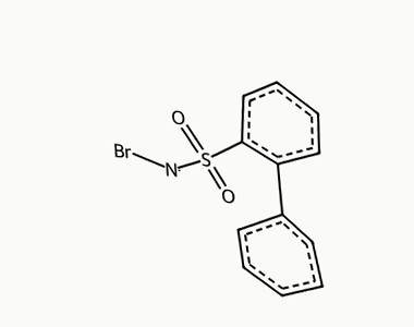 O=S(=O)([N]Br)c1ccccc1-c1ccccc1